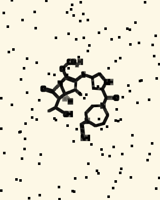 CC(O)C1C(=O)N2C(OC(=O)O)=C(SC3CNC(C(=O)N4CCCN(C=N)CC4)C3)C(C)[C@@H]12